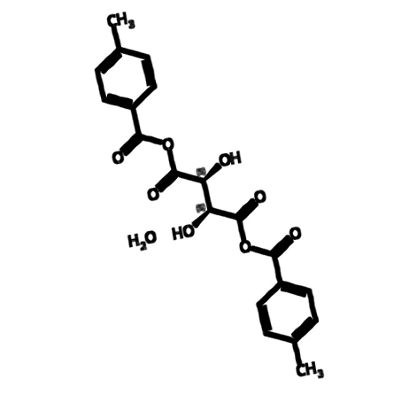 Cc1ccc(C(=O)OC(=O)[C@@H](O)[C@H](O)C(=O)OC(=O)c2ccc(C)cc2)cc1.O